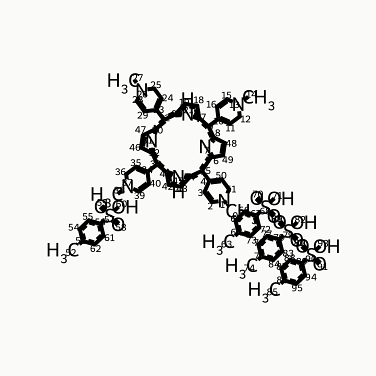 CN1C=CC(c2c3nc(c(C4=CCN(C)C=C4)c4ccc([nH]4)c(C4=CCN(C)C=C4)c4nc(c(C5=CCN(C)C=C5)c5ccc2[nH]5)C=C4)C=C3)=CC1.Cc1ccc(S(=O)(=O)O)cc1.Cc1ccc(S(=O)(=O)O)cc1.Cc1ccc(S(=O)(=O)O)cc1.Cc1ccc(S(=O)(=O)O)cc1